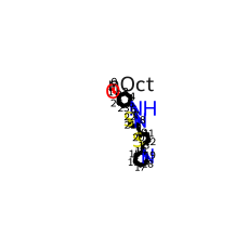 CCCCCCCCOc1ccc(Nc2nc(-c3ccc(-c4ccccn4)s3)cs2)cc1